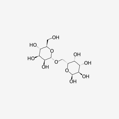 OC[C@H]1O[C@H](OC[C@H]2O[C@H](O)[C@H](O)[C@@H](O)[C@H]2O)[C@@H](O)[C@@H](O)[C@@H]1O